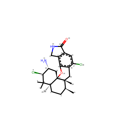 C[C@H]1CC[C@H]2C(C)(C)[C@@H](Cl)[C@H](N)C[C@]23Oc2c(c(Cl)cc4c2CNC4=O)C[C@]13C